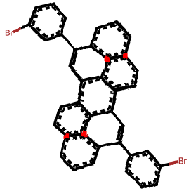 Brc1cccc(/C(=C/c2c3ccccc3c(/C=C(\c3ccccc3)c3cccc(Br)c3)c3ccccc23)c2ccccc2)c1